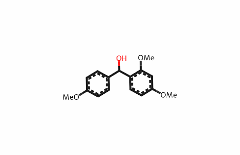 [CH2]Oc1ccc(C(O)c2ccc(OC)cc2OC)cc1